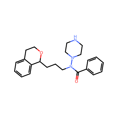 O=C(c1ccccc1)N(CCCC1OCCc2ccccc21)N1CCNCC1